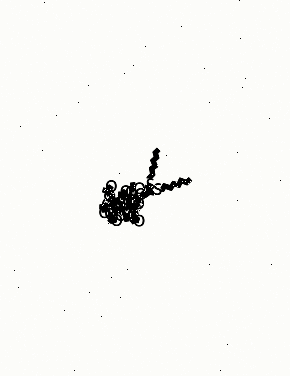 CCCCCCCCSCC(CO[C@@H]1O[C@H](COC(C)=O)[C@@H](O[C@@H]2O[C@H](COC(C)=O)[C@H](OC(C)=O)[C@H](OC(C)=O)[C@H]2OC(C)=O)[C@H](OC(C)=O)[C@H]1OC(C)=O)CSCCCCCCCC